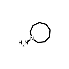 NN1CCCCCCCC1